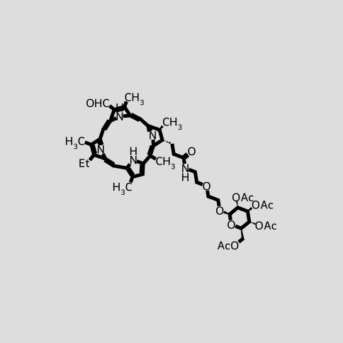 CCC1=C(C)c2cc3[nH]c(cc4nc(c(C)c5cc(C)c(cc1n2)[nH]5)[C@@H](CCC(=O)NCCOCCO[C@@H]1O[C@H](COC(C)=O)[C@@H](OC(C)=O)[C@H](OC(C)=O)[C@H]1OC(C)=O)[C@@H]4C)c(C)c3C=O